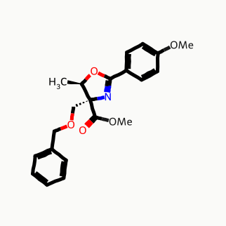 COC(=O)[C@]1(COCc2ccccc2)N=C(c2ccc(OC)cc2)O[C@@H]1C